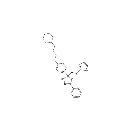 c1ccc(C2=NNC(CSc3ncc[nH]3)(c3ccc(OCCCN4CCCCC4)cc3)O2)cc1